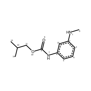 CNc1cccc(NC(=O)OCC(C)C)c1